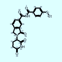 CCSc1ccc(C(=O)NC(=O)c2ccc3c(c2)C(=O)N(C2CCC(=O)NC2=O)C3)cc1